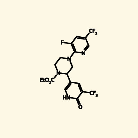 CCOC(=O)N1CCN(c2ncc(C(F)(F)F)cc2F)CC1c1c[nH]c(=O)c(C(F)(F)F)c1